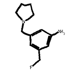 Nc1cc(CF)cc(CN2CCCC2)c1